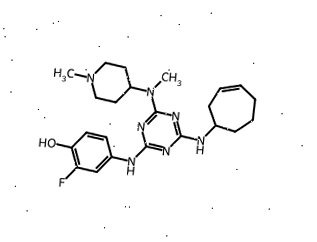 CN1CCC(N(C)c2nc(Nc3ccc(O)c(F)c3)nc(NC3CC=CCCC3)n2)CC1